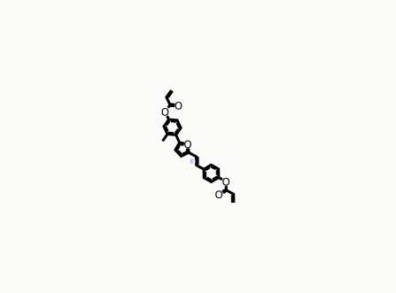 C=CC(=O)Oc1ccc(/C=C/c2ccc(-c3ccc(OC(=O)C=C)cc3C)o2)cc1